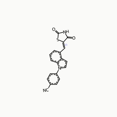 N#Cc1ccc(-n2ccc3c(/C=C4\SC(=O)NC4=O)cccc32)cc1